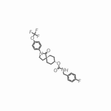 O=C(NCc1ccc(F)cc1)O[C@H]1CC[C@]2(CCN(c3ccc(OC(F)(F)F)cc3)C2=O)CC1